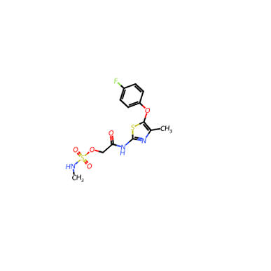 CNS(=O)(=O)OCC(=O)Nc1nc(C)c(Oc2ccc(F)cc2)s1